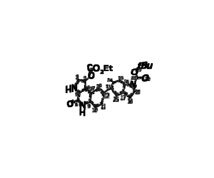 CCOC(=O)Oc1c[nH]c2c(=O)[nH]c3ccc(-c4ccc5c(ccn5C(=O)OC(C)(C)C)c4)cc3c12